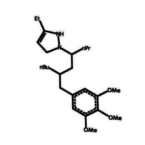 CCCCC(Cc1cc(OC)c(OC)c(OC)c1)CC(CCC)N1CC=C(CC)N1